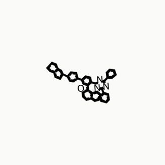 c1ccc(-c2nc(-c3ccccc3)nc(-c3ccc(-c4ccc(-c5ccc6ccccc6c5)cc4)c4oc5ccc6ccccc6c5c34)n2)cc1